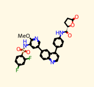 COc1ncc(-c2ccc3nccc(-c4ccc(NC(=O)[C@@H]5CCC(=O)O5)cc4)c3c2)cc1NS(=O)(=O)c1ccc(F)cc1F